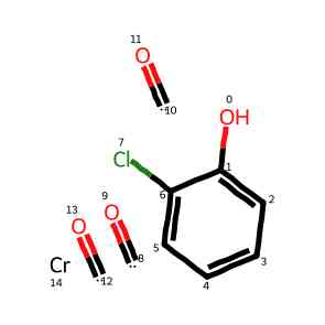 Oc1ccccc1Cl.[C]=O.[C]=O.[C]=O.[Cr]